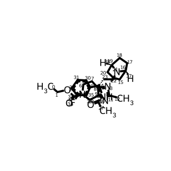 CCOC(=O)N1CCc2c(nc(C)n2[C@H]2C[C@H]3CC[C@@H](C2)N3CC[C@H](NC(C)=O)c2cccc(F)c2)C1